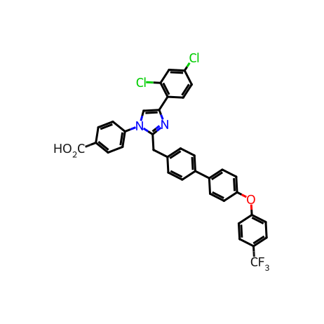 O=C(O)c1ccc(-n2cc(-c3ccc(Cl)cc3Cl)nc2Cc2ccc(-c3ccc(Oc4ccc(C(F)(F)F)cc4)cc3)cc2)cc1